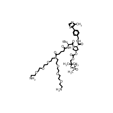 Cc1ncsc1-c1ccc(CNC(=O)[C@@H]2C[C@@H](OC(=O)OCC(C)(C)SS(C)(=O)=O)CN2C(=O)[C@@H](NC(=O)CCCC(=O)N(CCOCCOCCOCCN)CCOCCOCCOCCN)C(C)(C)C)cc1